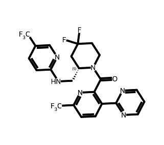 O=C(c1nc(C(F)(F)F)ccc1-c1ncccn1)N1CCC(F)(F)C[C@H]1CNc1ccc(C(F)(F)F)cn1